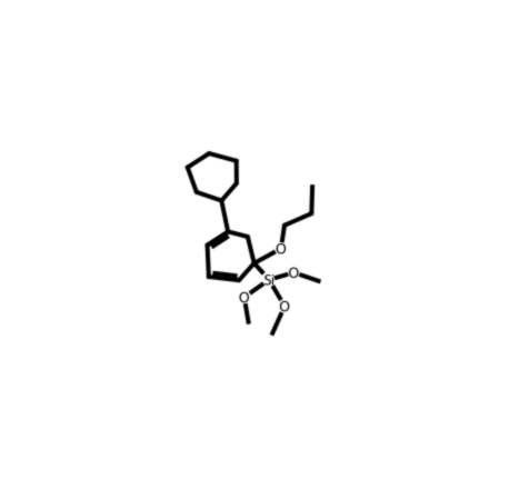 CCCOC1([Si](OC)(OC)OC)C=CC=C(C2CCCCC2)C1